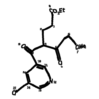 CCOC(=O)CCC(C(=O)COC)C(=O)c1cncc(Cl)c1